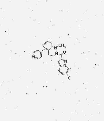 CN1c2cccc(-c3ccncc3)c2CCN1C(=O)c1cc2ncc(Cl)cn2n1